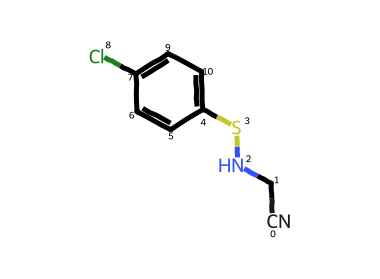 N#CCNSc1ccc(Cl)cc1